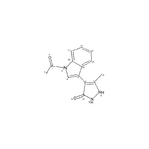 CC(=O)n1cc(-c2c(C)[nH][nH]c2=O)c2ccccc21